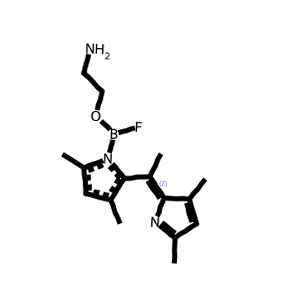 CC1=CC(C)=N/C1=C(/C)c1c(C)cc(C)n1B(F)OCCN